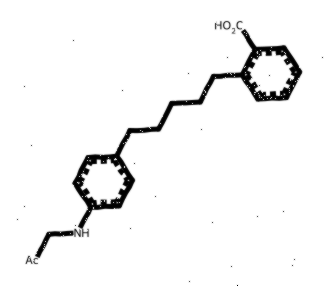 CC(=O)CNc1ccc(CCCCCc2ccccc2C(=O)O)cc1